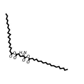 CCCCCCCCCCCCCCCCCC(=O)OC(=O)CC[C@H](N)C(=O)OC(=O)CCCCCCCCCCCCCCCCC